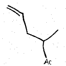 C=CCC(C)C(C)=O